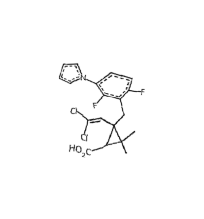 CC1(C)C(C(=O)O)C1(C=C(Cl)Cl)Cc1c(F)ccc(-n2cccc2)c1F